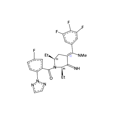 CC[C@H]1C/C(=C(/NC)c2cc(F)c(F)c(F)c2)C(=N)[C@@H](CC)N1C(=O)c1cc(F)ccc1-n1nccn1